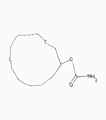 NC(=O)OC1CCCCCCCCCCC1